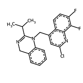 CC(C)C1=NCc2ccccc2N1Cc1cc(Cl)nc2c(F)c(F)ccc12